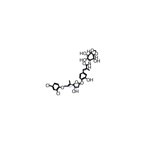 C/C(=C\c1ccc(O[C@H]2C[C@H](O)[C@@H](/C(C)=C/COc3ccc(Cl)cc3Cl)O2)c(O)c1)C(=O)N[C@@H]1[C@H](O)[C@@H](O)[C@H]2OCO[C@H]2[C@@H]1O